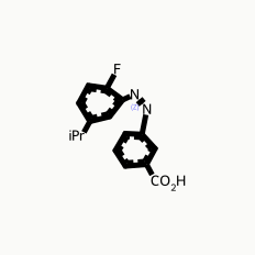 CC(C)c1ccc(F)c(/N=N\c2cccc(C(=O)O)c2)c1